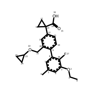 CCOc1cc(C)cc(-c2ccc(C3(C(=O)O)CC3)cc2COC2CC2)c1F